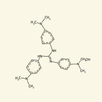 CN(C)c1ccc(N=C(Nc2ccc(N(C)C)cc2)Nc2ccc(N(C)C)cc2)cc1.Cl